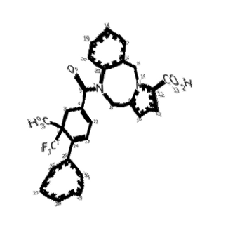 CC1(C(F)(F)F)CC(C(=O)N2Cc3ccc(C(=O)O)n3Cc3ccccc32)=CC=C1c1ccccc1